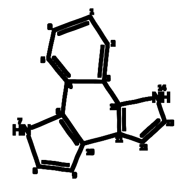 c1ccc2c(c1)c1[nH]ccc1c1cc[nH]c21